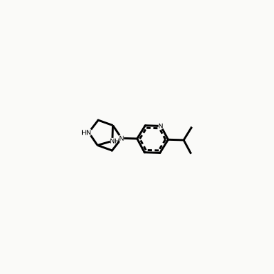 CC(C)c1ccc(N2CC3NCC2N3)cn1